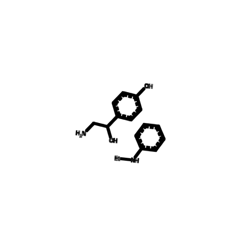 CCNc1ccccc1.NCC(O)c1ccc(O)cc1